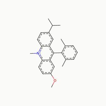 COc1ccc2c(c1)c(-c1c(C)cccc1C)c1cc(C(C)C)ccc1[n+]2C